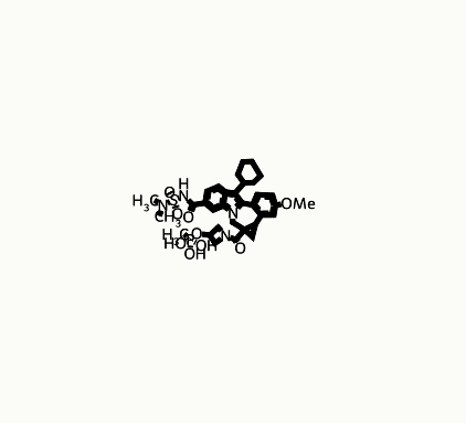 COc1ccc2c(c1)C1CC1(C(=O)N1CC(OP(C)(O)(O)O)C1)Cn1c-2c(C2CCCCC2)c2ccc(C(=O)NS(=O)(=O)N(C)C)cc21